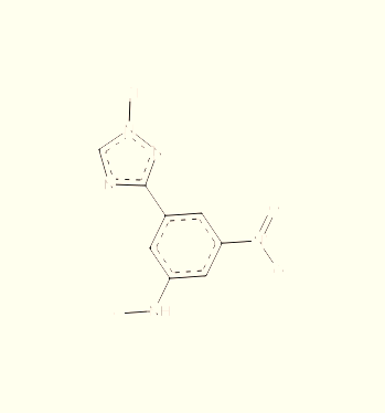 CNc1cc(-c2ncn(C)n2)cc([N+](=O)[O-])c1